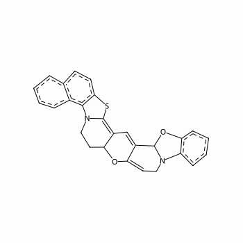 C1=C2OC3CCN4C(=C3C=C2C2Oc3ccccc3N2C1)Sc1ccc2ccccc2c14